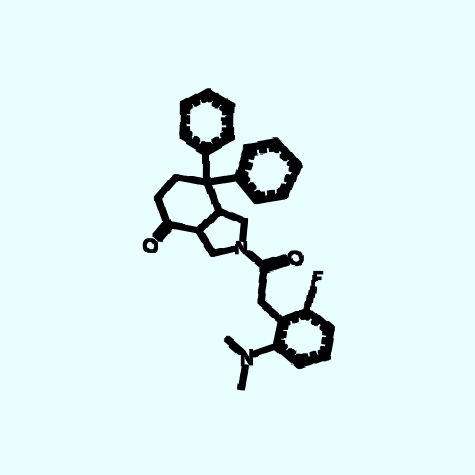 CN(C)c1cccc(F)c1CC(=O)N1CC2C(=O)CCC(c3ccccc3)(c3ccccc3)C2C1